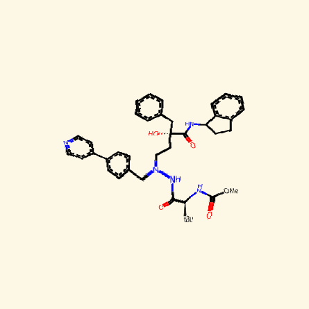 COC(=O)N[C@H](C(=O)NN(CC[C@@](O)(Cc1ccccc1)C(=O)NC1CCc2ccccc21)Cc1ccc(-c2ccncc2)cc1)C(C)(C)C